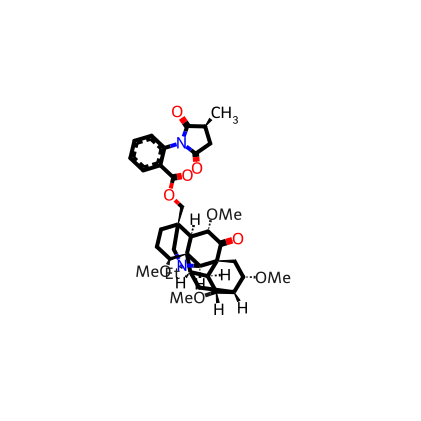 CCN1C[C@]2(COC(=O)c3ccccc3N3C(=O)C[C@H](C)C3=O)CC[C@H](OC)[C@@]34[C@@H]5C[C@H]6[C@H](OC)[C@@H]5[C@@](C[C@@H]6OC)(C(=O)[C@@H](OC)[C@H]23)[C@@H]14